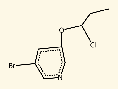 CCC(Cl)Oc1cncc(Br)c1